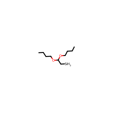 CCCCOC(C[SiH3])OCCCC